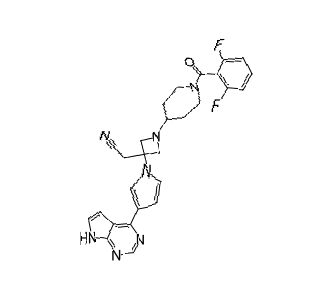 N#CCC1(n2ccc(-c3ncnc4[nH]ccc34)c2)CN(C2CCN(C(=O)c3c(F)cccc3F)CC2)C1